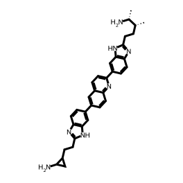 C[C@H](CCc1nc2ccc(-c3ccc4cc(-c5ccc6nc(CCC7CC7N)[nH]c6c5)ccc4n3)cc2[nH]1)[C@@H](C)N